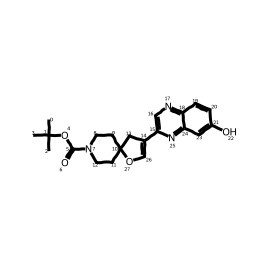 CC(C)(C)OC(=O)N1CCC2(CC1)CC(c1cnc3ccc(O)cc3n1)=CO2